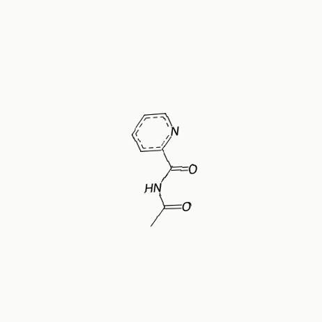 CC(=O)NC(=O)c1ccccn1